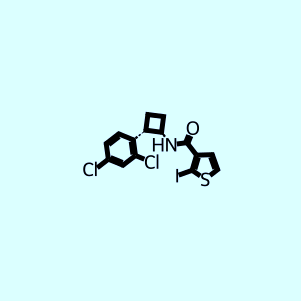 O=C(N[C@H]1CC[C@H]1c1ccc(Cl)cc1Cl)c1ccsc1I